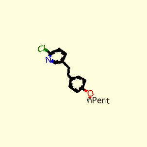 CCCCCOc1ccc(CCc2ccc(Cl)nc2)cc1